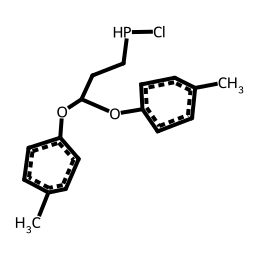 Cc1ccc(OC(CCPCl)Oc2ccc(C)cc2)cc1